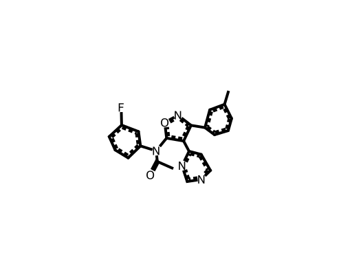 CC(=O)N(c1cccc(F)c1)c1onc(-c2cccc(C)c2)c1-c1ccncn1